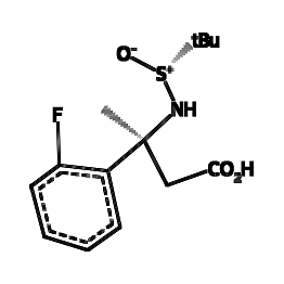 CC(C)(C)[S@@+]([O-])N[C@@](C)(CC(=O)O)c1ccccc1F